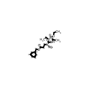 CCOP(=O)(OCC)C(C)NC(=O)N(CCC(=O)OCc1ccccc1)N=O